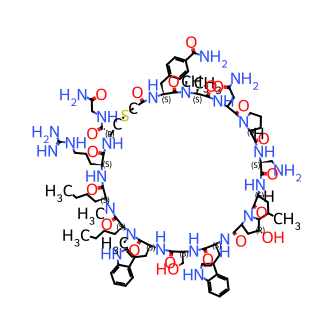 CCCC[C@H]1C(=O)N(C)[C@@H](CCCC)C(=O)N[C@@H](CCCNC(=N)N)C(=O)N[C@H](C(=O)NCC(N)=O)CSCC(=O)N[C@@H](Cc2ccc(C(N)=O)cc2)C(=O)N(C)[C@@H](C)C(=O)NC(CC(N)=O)C(=O)N2CCC[C@H]2C(=O)N[C@@H](CN)C(=O)N[C@H]2CC(C)C3[C@H](O)CC(C(=O)N[C@@H](Cc4c[nH]c5ccccc45)C(=O)N[C@@H](CO)C(=O)N[C@@H](Cc4c[nH]c5ccccc45)C(=O)N1C)N3C2=O